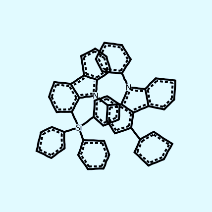 c1ccc(-c2ccc(-n3c4ccccc4c4cccc([Si](c5ccccc5)(c5ccccc5)c5ccccc5)c43)c3c2c2ccccc2n3-c2ccccc2)cc1